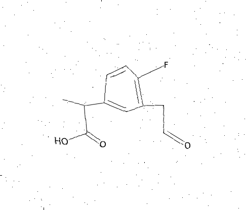 CC(C(=O)O)c1ccc(F)c(CC=O)c1